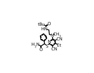 CCc1c(C#N)c(SC(C(N)=O)c2ccccc2)nc(N(C)CCNC(=O)C(C)(C)C)c1C#N